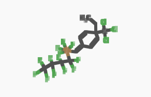 CCC1([Si](Cl)(Cl)Cl)C=CC(=CS(F)(F)(F)(F)C(F)(F)C(F)(F)C(F)(F)C(F)(F)F)C=C1